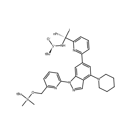 CCC[C@@](I)(N[S@+]([O-])C(C)(C)C)c1cccc(-c2cc(N3CCCCC3)c3cnn(-c4cccc(CO[Si](C)(C)C(C)(C)C)n4)c3c2)n1